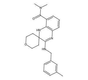 Cc1cccc(CNC2=Nc3cccc(C(=O)N(C)C)c3NC23CCOCC3)c1